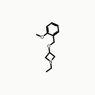 CCN1CC(OCc2ccccc2OC)C1